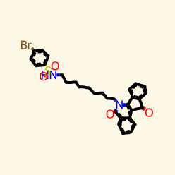 O=C1c2ccccc2-c2c1c1ccccc1c(=O)n2CCCCCCCCCNS(=O)(=O)c1ccc(Br)cc1